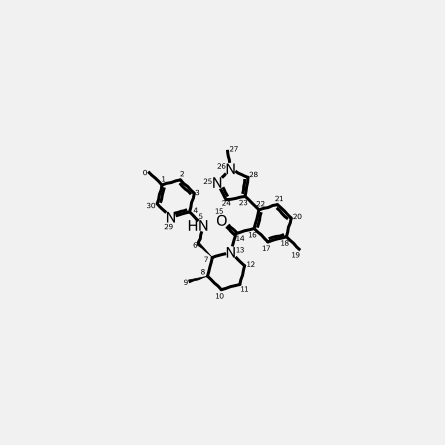 Cc1ccc(NC[C@@H]2[C@H](C)CCCN2C(=O)c2cc(C)ccc2-c2cnn(C)c2)nc1